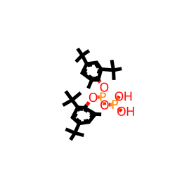 Cc1cc(C(C)(C)C)cc(C(C)(C)C)c1OP(Oc1c(C)cc(C(C)(C)C)cc1C(C)(C)C)OP(O)O